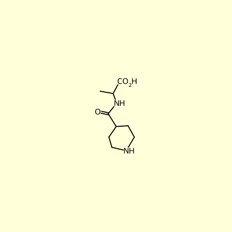 CC(NC(=O)C1CCNCC1)C(=O)O